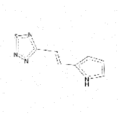 C(=Cc1ccc[nH]1)c1nnsn1